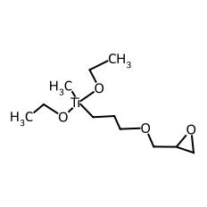 CC[O][Ti]([CH3])([CH2]CCOCC1CO1)[O]CC